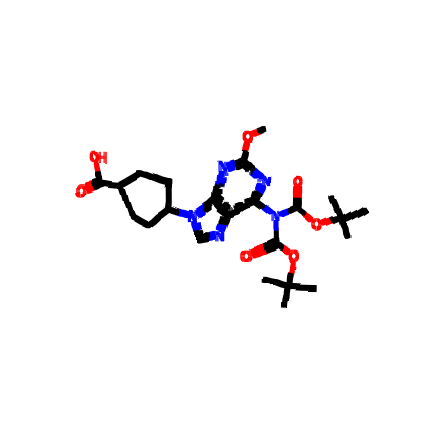 COc1nc(N(C(=O)OC(C)(C)C)C(=O)OC(C)(C)C)c2ncn(C3CCC(C(=O)O)CC3)c2n1